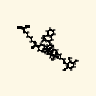 CC(C)(OC(=O)N1C2CC(c3ccc(CCCOc4c(F)ccc(F)c4F)cc3)=C(C(=O)N(Cc3ccccc3F)C3CC3)C1CN(C(=O)OCCCCON(O)O)C2)C(Cl)(Cl)Cl